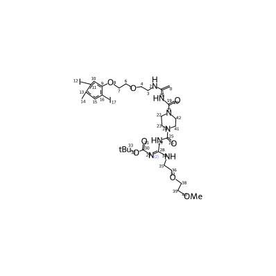 C=C(NCCOCCOc1cc(I)c(C)cc1I)NC(=O)N1CCN(C(=O)N/C(=N\C(=O)OC(C)(C)C)NCCOCCOC)CC1